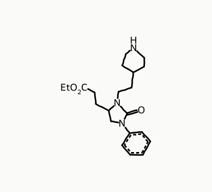 CCOC(=O)CCC1CN(c2ccccc2)C(=O)N1CCC1CCNCC1